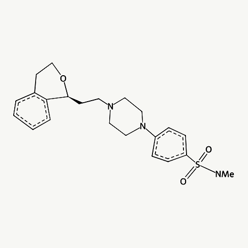 CNS(=O)(=O)c1ccc(N2CCN(CC[C@@H]3OCCc4ccccc43)CC2)cc1